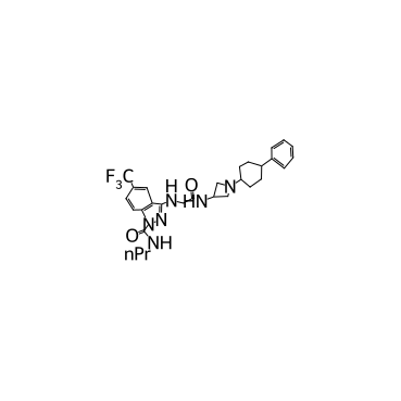 CCCNC(=O)n1nc(NCC(=O)NC2CN(C3CCC(c4ccccc4)CC3)C2)c2cc(C(F)(F)F)ccc21